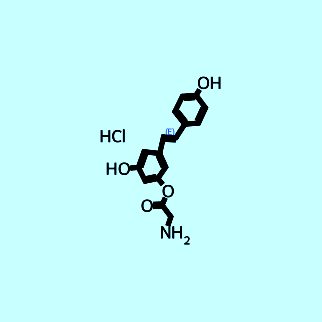 Cl.NCC(=O)Oc1cc(O)cc(/C=C/c2ccc(O)cc2)c1